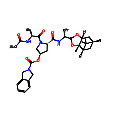 CCC[C@H](NC(=O)[C@@H]1C[C@@H](OC(=O)N2Cc3ccccc3C2)CN1C(=O)[C@@H](NC(=O)OCC(C)C)C(C)(C)C)B1O[C@@H]2C[C@@H]3C[C@@H](C3(C)C)[C@]2(C)O1